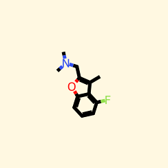 Cc1c(CN(C)C)oc2cccc(F)c12